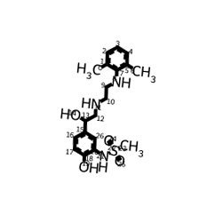 Cc1cccc(C)c1NCCNCC(O)c1ccc(O)c(NS(C)(=O)=O)c1